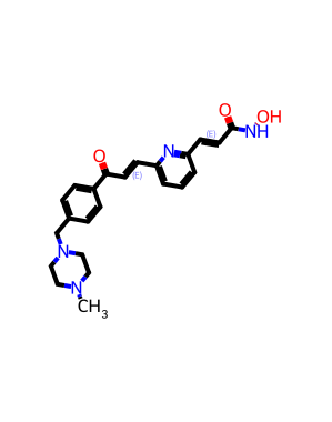 CN1CCN(Cc2ccc(C(=O)/C=C/c3cccc(/C=C/C(=O)NO)n3)cc2)CC1